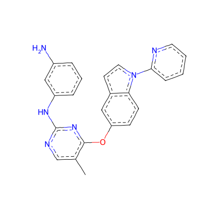 Cc1cnc(Nc2cccc(N)c2)nc1Oc1ccc2c(ccn2-c2ccccn2)c1